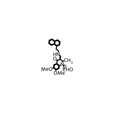 COc1cc2c(cc1OC)N(OC=O)C(C)C(=CNCCc1cccc3ccccc13)C2=O